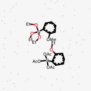 CCO[Si](OCC)(OCC)c1ccccc1OC.CCOc1ccccc1[Si](OC(C)=O)(OC(C)=O)OC(C)=O